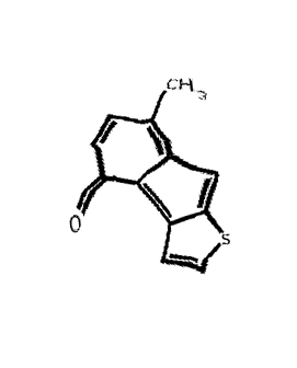 CC1=C2C=c3sccc3=C2C(=O)C=C1